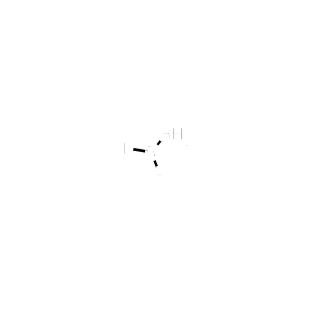 BB(F)F